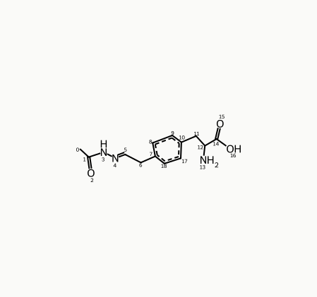 CC(=O)N/N=C/Cc1ccc(CC(N)C(=O)O)cc1